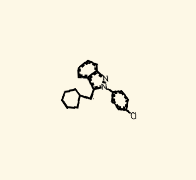 Clc1ccc(-n2nc3ccccc3c2[CH]C2CCCCC2)cc1